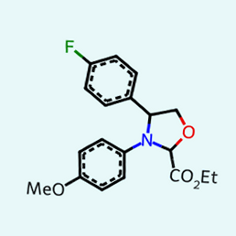 CCOC(=O)C1OCC(c2ccc(F)cc2)N1c1ccc(OC)cc1